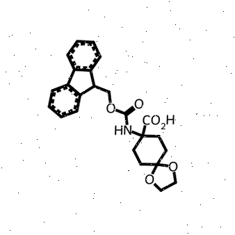 O=C(NC1(C(=O)O)CCC2(CC1)OCCO2)OCC1c2ccccc2-c2ccccc21